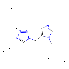 Cn1cncc1Cn1cnnn1